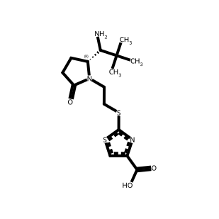 CC(C)(C)C(N)[C@H]1CCC(=O)N1CCSc1nc(C(=O)O)cs1